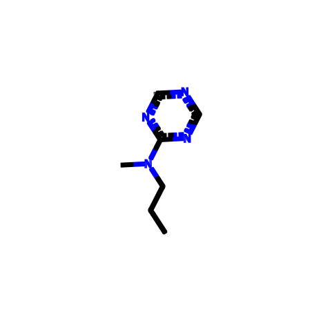 CCCN(C)c1n[c]ncn1